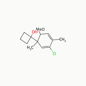 COC1C=C(C)C(Cl)=CC1(C)C1(O)CCC1